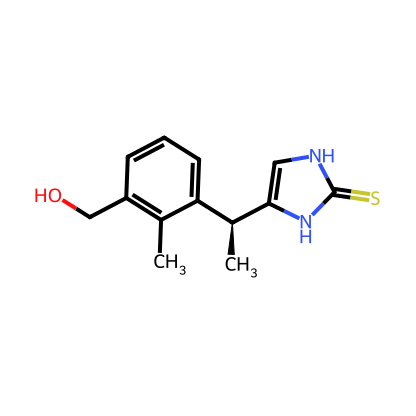 Cc1c(CO)cccc1[C@H](C)c1c[nH]c(=S)[nH]1